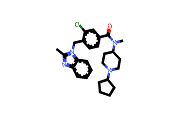 Cc1nc2ccccc2n1Cc1ccc(C(=O)N(C)C2CCN(C3CCCC3)CC2)cc1Cl